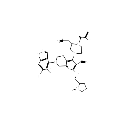 C=C(F)C(=O)N1CCN(c2c(C#N)c(OCC3CCCN3C)nc3c2CCN(c2c(Cl)c(F)cc4[nH]ncc24)C3)CC1CC#N